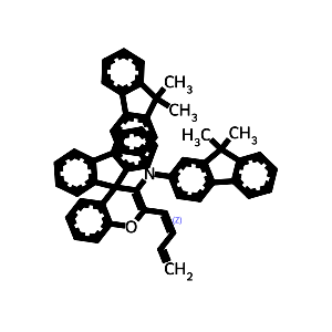 C=C/C=C\C1=C(N(c2ccc3c(c2)C(C)(C)c2ccccc2-3)c2ccc3c(c2)C(C)(C)c2ccccc2-3)C2(c3ccccc3O1)c1ccccc1-c1ccccc12